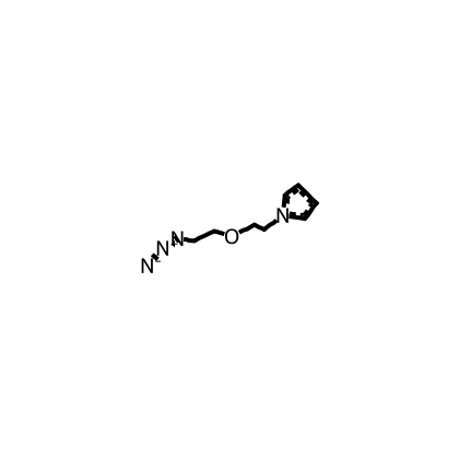 [N-]=[N+]=NCCOCCn1cccc1